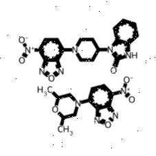 CC1CN(c2ccc([N+](=O)[O-])c3nonc23)CC(C)O1.O=c1[nH]c2ccccc2n1C1CCN(c2ccc([N+](=O)[O-])c3nonc23)CC1